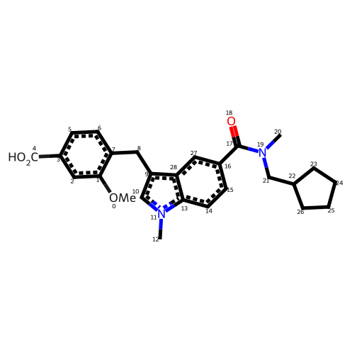 COc1cc(C(=O)O)ccc1Cc1cn(C)c2ccc(C(=O)N(C)CC3CCCC3)cc12